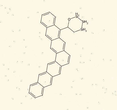 c1ccc2cc3cc4c(ccc5cc6c(C7C[SiH2][SiH2][SiH2]O7)c7ccccc7cc6cc54)cc3cc2c1